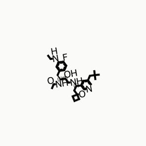 CCNc1cc(C[C@H](NC(C)=O)[C@H](O)CN[C@H]2CC3(CCC3)Oc3ncc(CC(C)(C)C)cc32)ccc1F